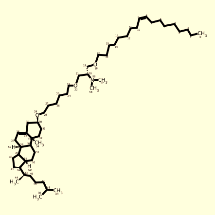 CCCCCCCC/C=C\CCCCCCCCOC[C@@H](COCCCCCCO[C@H]1CC[C@@]2(C)C(=CC[C@H]3C4CC[C@H]([C@H](C)CCCC(C)C)[C@H]4CCC32)C1)N(C)C